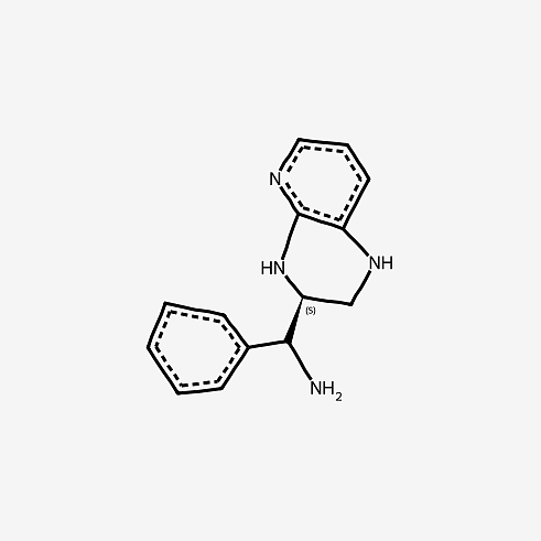 NC(c1ccccc1)[C@@H]1CNc2cccnc2N1